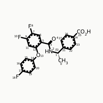 C[C@H](NC(=O)c1cc(F)c(F)cc1Oc1ccc(F)cc1)c1ccc(C(=O)O)cc1